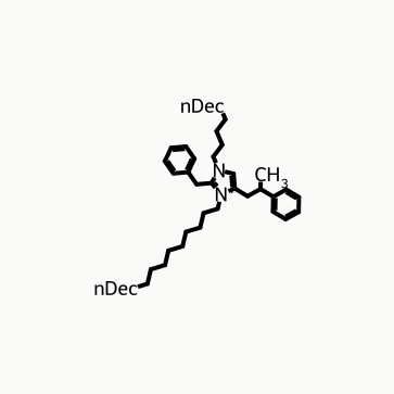 CCCCCCCCCCCCCCCCCCC[n+]1c(CC(C)c2ccccc2)cn(CCCCCCCCCCCCCC)c1Cc1ccccc1